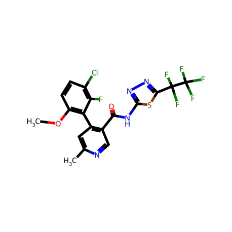 COc1ccc(Cl)c(F)c1-c1cc(C)ncc1C(=O)Nc1nnc(C(F)(F)C(F)(F)F)s1